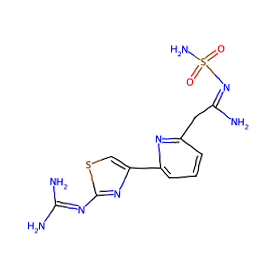 NC(N)=Nc1nc(-c2cccc(C/C(N)=N\S(N)(=O)=O)n2)cs1